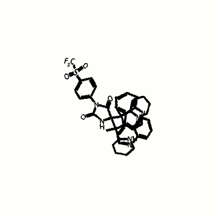 CC(c1ccnc2ccccc12)(C1CCCCN1)C1(C(C)(c2ccnc3ccccc23)C2CCCCN2)NC(=O)N(c2ccc(S(=O)(=O)C(F)(F)F)cc2)C1=O